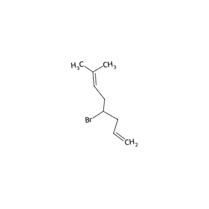 C=CCC(Br)CC=C(C)C